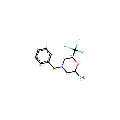 CC1CN(Cc2ccccc2)C[C@@H](C(F)(F)F)O1